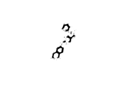 CC(C)N1C(O)c2cnc(Nc3ccc4c(c3)CCNC4)nc2N1c1ccc(F)cn1